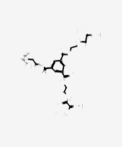 C=C(C)C(=O)OCCOC(=O)c1cc(C(=O)OCCOC(=O)C(=C)C)cc(C(=O)OCCP(=O)(O)O)c1